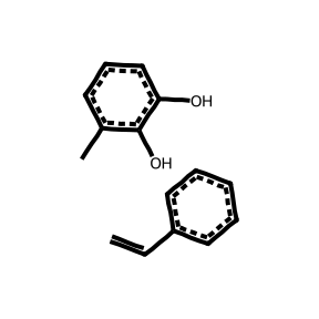 C=Cc1ccccc1.Cc1cccc(O)c1O